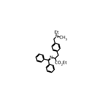 CCOC(=O)C(Cc1ccc(CN(C)CC)cc1)N=C(c1ccccc1)c1ccccc1